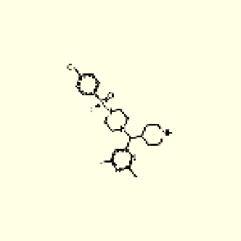 Cc1cc(C(C2CCNCC2)N2CCN(S(=O)(=O)c3ccc(Cl)cc3)CC2)nc(C)n1